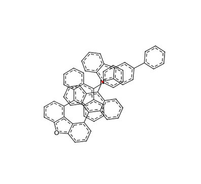 c1ccc(-c2ccc3c(c2)c2ccccc2n3-c2c3ccccc3c(-c3cccc4oc5cccc(-c6c7ccccc7c(-c7ccccc7)c7ccccc67)c5c34)c3ccccc23)cc1